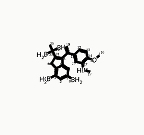 Bc1cc(B)c2c(c1)C(C(=C)c1ccc(OI)c(BC)c1)=C(C(B)(B)C)C2